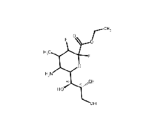 CCOC(=O)C1(F)OC([C@H](O)[C@H](O)CO)C(N)C(C)C1F